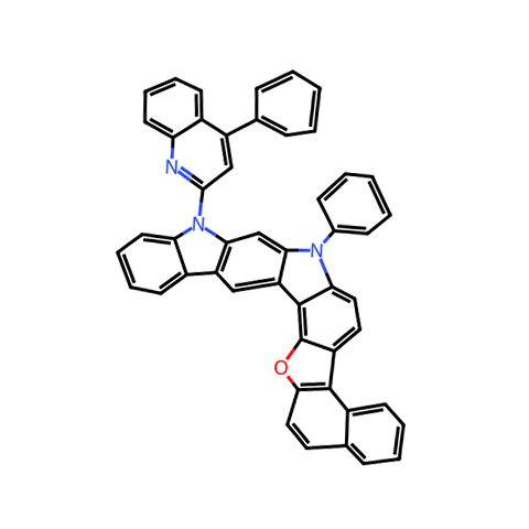 c1ccc(-c2cc(-n3c4ccccc4c4cc5c6c7oc8ccc9ccccc9c8c7ccc6n(-c6ccccc6)c5cc43)nc3ccccc23)cc1